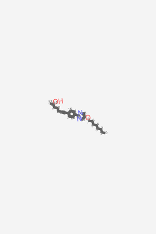 CCCCCCCCOc1cnc(-c2ccc(C#CCCCC(C)O)cc2)nc1